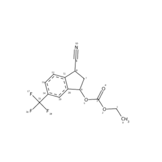 CCOC(=O)OC1CC(C#N)c2ccc(C(F)(F)F)cc21